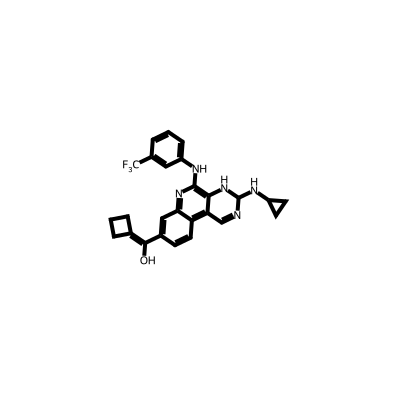 OC(=C1CCC1)c1ccc2c3c(c(Nc4cccc(C(F)(F)F)c4)nc2c1)NC(NC1CC1)N=C3